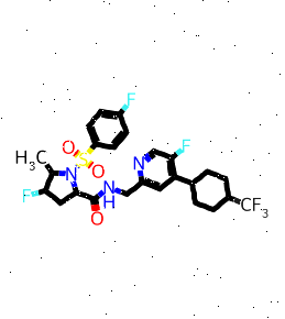 CC1C(F)CC(C(=O)NCc2cc(C3CCC(C(F)(F)F)CC3)c(F)cn2)N1S(=O)(=O)c1ccc(F)cc1